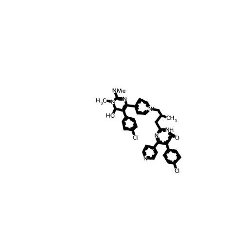 CNC1=NC(c2cc[n+](CC(C)Cc3nc(-c4ccncc4)c(-c4ccc(Cl)cc4)c(=O)[nH]3)cc2)=C(c2ccc(Cl)cc2)C(O)N1C